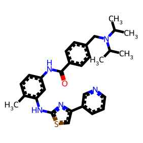 Cc1ccc(NC(=O)c2ccc(CN(C(C)C)C(C)C)cc2)cc1Nc1nc(-c2cccnc2)cs1